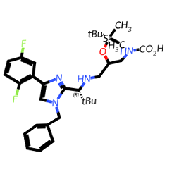 CC(C)(C)[C@@H](NCC(CNC(=O)O)O[Si](C)(C)C(C)(C)C)c1nc(-c2cc(F)ccc2F)cn1Cc1ccccc1